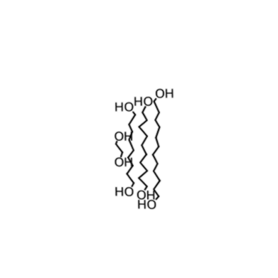 OCCCCCCCCCCCCO.OCCCCCCCCCCO.OCCCCCCCCCO.OCCO